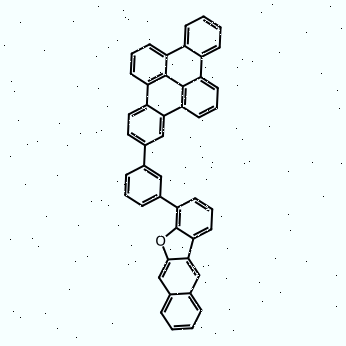 c1cc(-c2ccc3c(c2)c2cccc4c5ccccc5c5cccc3c5c42)cc(-c2cccc3c2oc2cc4ccccc4cc23)c1